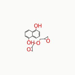 C(OCC1CO1)C1CO1.Oc1cccc2c(O)cccc12